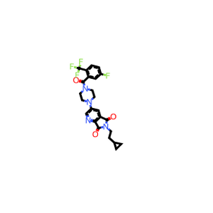 O=C(c1cc(F)ccc1C(F)(F)F)N1CCN(c2cnc3c(c2)C(=O)N(CCC2CC2)C3=O)CC1